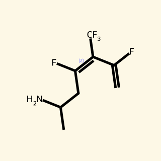 C=C(F)/C(=C(/F)CC(C)N)C(F)(F)F